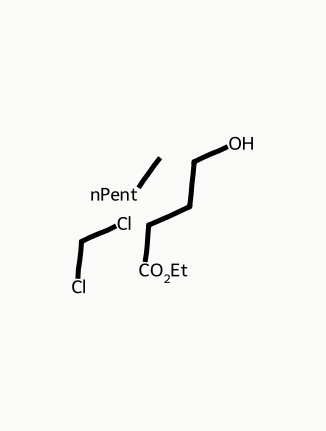 CCCCCC.CCOC(=O)CCCO.ClCCl